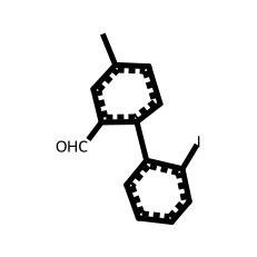 Cc1ccc(-c2ccccc2I)c(C=O)c1